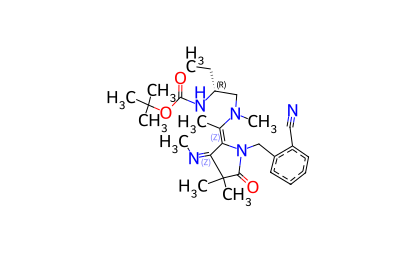 CC[C@H](CN(C)/C(C)=C1/C(=N\C)C(C)(C)C(=O)N1Cc1ccccc1C#N)NC(=O)OC(C)(C)C